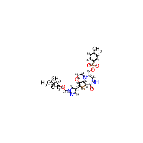 Cc1ccc(S(=O)(=O)OC[C@@H]2CNC(=O)c3sc(-c4cnn(COCC[Si](C)(C)C)c4)c4c3N2CCO4)cc1